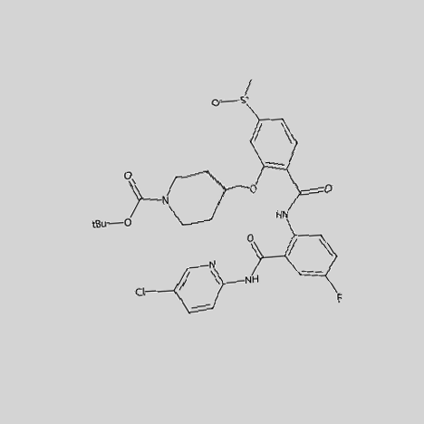 C[S+]([O-])c1ccc(C(=O)Nc2ccc(F)cc2C(=O)Nc2ccc(Cl)cn2)c(OC2CCN(C(=O)OC(C)(C)C)CC2)c1